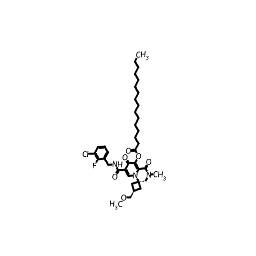 CCCCCCCCCCCCCCCC(=O)Oc1c2n(cc(C(=O)NCc3cccc(Cl)c3F)c1=O)[C@]1(CN(C)C2=O)C[C@H](COC)C1